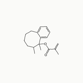 C=C(C)C(=O)OC1(C)c2ccccc2CCCCC1C